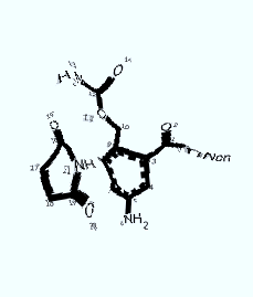 CCCCCCCCCC(=O)c1cc(N)ccc1COC(N)=O.O=C1C=CC(=O)N1